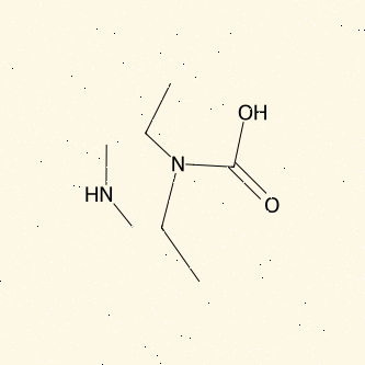 CCN(CC)C(=O)O.CNC